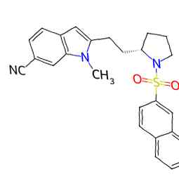 Cn1c(CC[C@@H]2CCCN2S(=O)(=O)c2ccc3ccccc3c2)cc2ccc(C#N)cc21